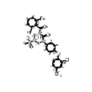 CCN(SN(C(=O)NC(=O)c1c(F)cccc1F)c1ccc(Oc2ccc(C(F)(F)F)cc2Cl)cc1)S(C)(=O)=O